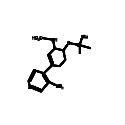 CC(C)(C)[Si](C)(C)OC1CCC(c2ccncc2[N+](=O)[O-])=CC1NC(=O)O